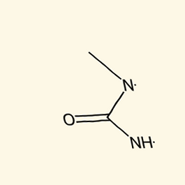 C[N]C([NH])=O